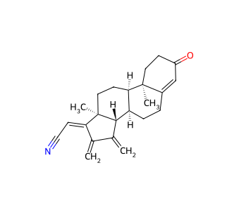 C=C1C(=C)[C@H]2[C@@H]3CCC4=CC(=O)CC[C@]4(C)[C@@H]3CC[C@]2(C)C1=CC#N